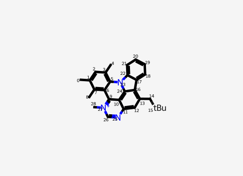 Cc1cc(C)c2c(c1C)c1c3c(cc(CC(C)(C)C)c4c5ccccc5n2c43)nc[n+]1C